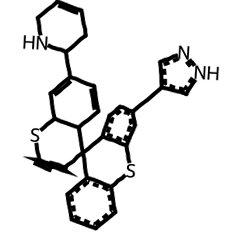 C1=CC2SC3C=C(C4CC=CCN4)C=CC3C3(c4ccccc4Sc4cc(-c5cn[nH]c5)ccc43)C2C=C1